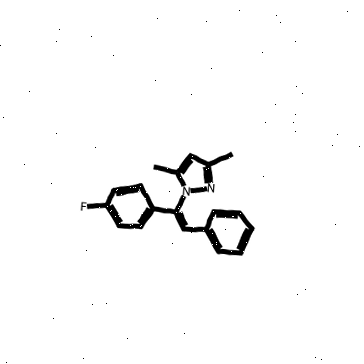 Cc1cc(C)n(C(=Cc2ccccc2)c2ccc(F)cc2)n1